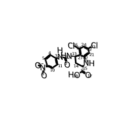 O=C(Nc1ccc([N+](=O)[O-])cc1)N[C@@H]1C[C@@H](C(=O)O)Nc2cc(Cl)cc(Cl)c21